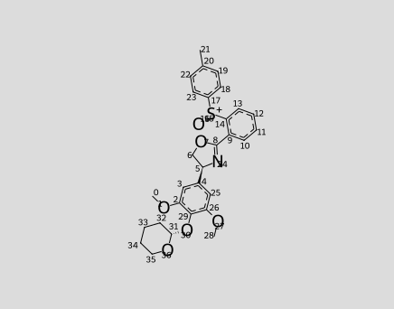 COc1cc([C@H]2COC(c3ccccc3[S@@+]([O-])c3ccc(C)cc3)=N2)cc(OC)c1O[C@H]1CCCCO1